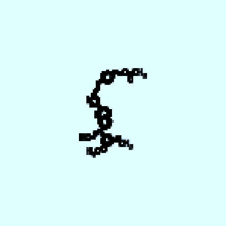 COc1cc(OC)cc(N(CCO)c2ccc3ncc(C4C=NN(CCCN5CCN(CCOC(C)=O)CC5)C4)nc3c2)c1